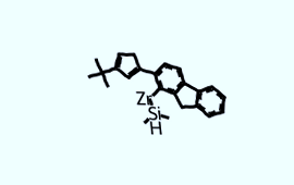 C[SiH](C)[Zr][c]1c(C2=CC(C(C)(C)C)=CC2)ccc2c1Cc1ccccc1-2